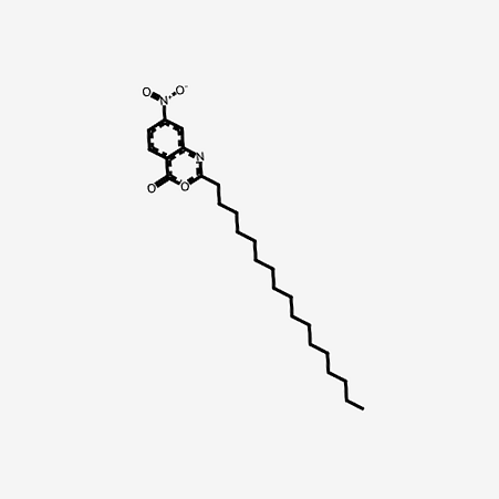 CCCCCCCCCCCCCCCCCc1nc2cc([N+](=O)[O-])ccc2c(=O)o1